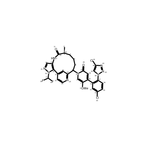 COc1cn(C2CCC[C@H](C)C(=O)Nc3cnn(C(F)F)c3-c3ccnc2c3)c(=O)cc1-c1cc(Cl)ccc1-n1cc(Cl)nn1